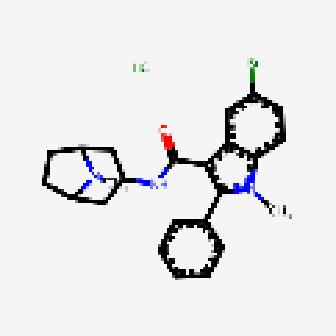 CN1C2CCC1CC(NC(=O)c1c(-c3ccccc3)n(C)c3ccc(Br)cc13)C2.Cl